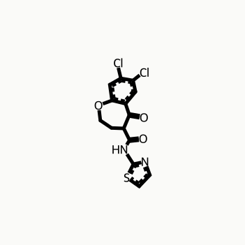 O=C(Nc1nccs1)C1CCOc2cc(Cl)c(Cl)cc2C1=O